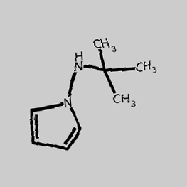 CC(C)(C)Nn1cccc1